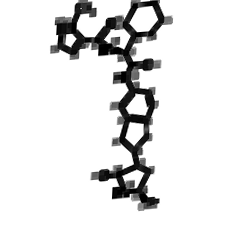 CC(C)[C@@H]1CC(C2Cc3ccc(NC(=O)[C@@H](NC(=O)c4ccnn4C)C4CCCCC4)cc3C2)C(=O)N1